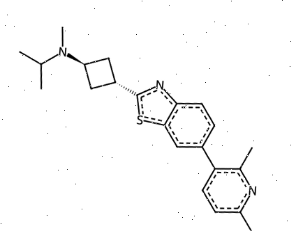 Cc1ccc(-c2ccc3nc([C@H]4C[C@H](N(C)C(C)C)C4)sc3c2)c(C)n1